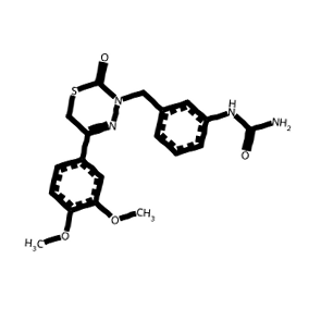 COc1ccc(C2=NN(Cc3cccc(NC(N)=O)c3)C(=O)SC2)cc1OC